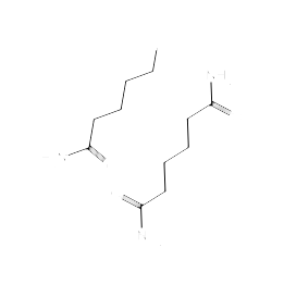 CCCCCC(N)=O.NC(=O)CCCCC(N)=O